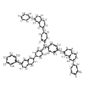 c1ccc(-c2ccc3ccc(-c4ccc(N(c5ccc(-c6ccc7ccc(-c8ccccc8)cc7c6)cc5)c5ccc(-c6ccc7ccc(-c8ccccc8)cc7c6)cc5)cc4)cc3c2)cc1